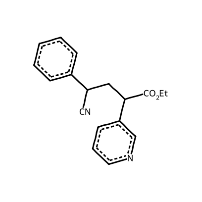 CCOC(=O)C(CC(C#N)c1ccccc1)c1cccnc1